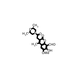 COc1cc2c(C)c(CC(=O)N3C[C@@H](C)O[C@@H](C)C3)c(=O)oc2c(C=O)c1O